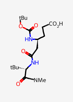 CNC(=O)[C@@H](NC(=O)C[C@H](CCC(=O)O)NC(=O)OC(C)(C)C)C(C)(C)C